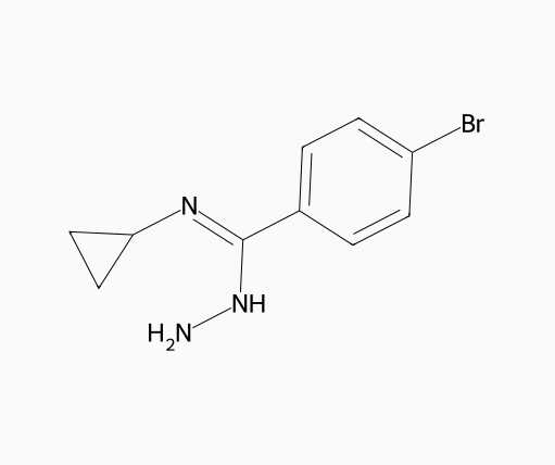 NNC(=NC1CC1)c1ccc(Br)cc1